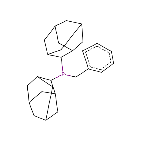 c1ccc(CP(C2C3CC4CC(C3)CC2C4)C2C3CC4CC(C3)CC2C4)cc1